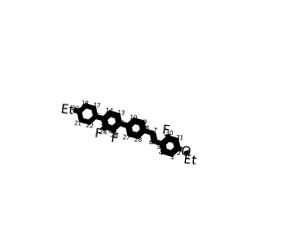 CCOc1ccc(/C=C/c2ccc(-c3ccc(C4CCC(CC)CC4)c(F)c3F)cc2)c(F)c1